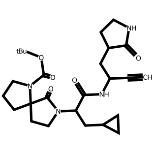 C#CC(CC1CCNC1=O)NC(=O)C(CC1CC1)N1CCC2(CCCN2C(=O)OC(C)(C)C)C1=O